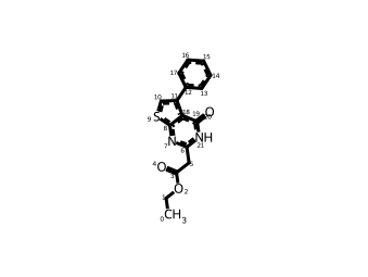 CCOC(=O)Cc1nc2scc(-c3ccccc3)c2c(=O)[nH]1